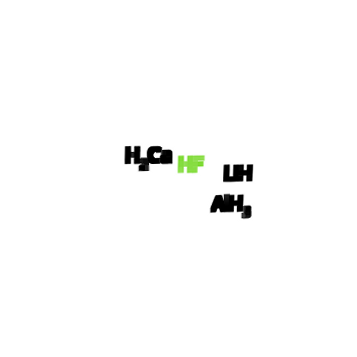 F.[AlH3].[CaH2].[LiH]